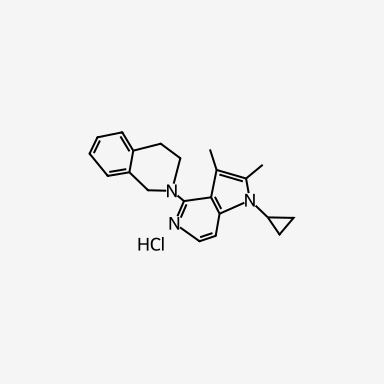 Cc1c(C)n(C2CC2)c2ccnc(N3CCc4ccccc4C3)c12.Cl